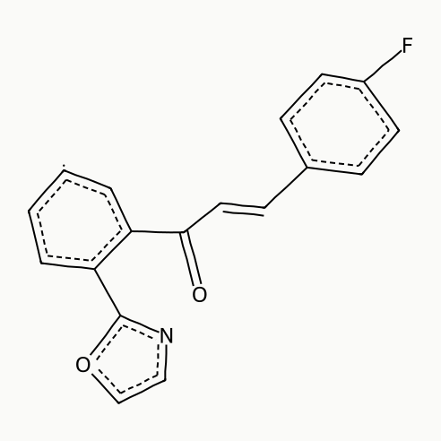 O=C(C=Cc1ccc(F)cc1)c1c[c]ccc1-c1ncco1